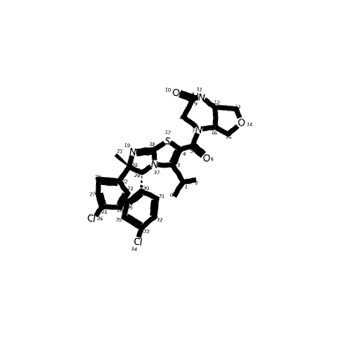 CC(C)C1=C(C(=O)N2CC(=O)NC3COCC32)SC2=N[C@@](C)(c3ccc(Cl)cc3)[C@@H](c3ccc(Cl)cc3)N21